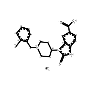 Cl.O=C(O)c1ccc2[nH]c(=O)n(C3CCN(Cc4ccccc4Cl)CC3)c2c1